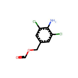 Nc1c(Cl)cc(COC=O)cc1Cl